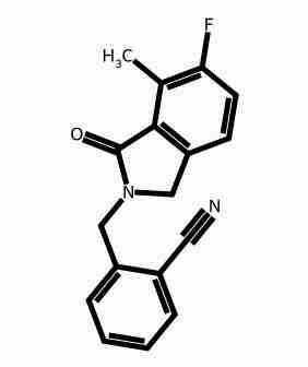 Cc1c(F)ccc2c1C(=O)N(Cc1ccccc1C#N)C2